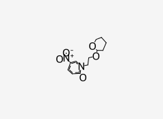 O=c1ccc([N+](=O)[O-])cn1CCOC1CCCCO1